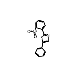 O=[N+]([O-])c1ccccc1-c1ncc(-c2ccccc2)s1